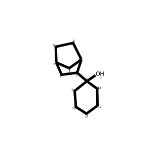 OC1(C2CC3CCC2C3)CCCCC1